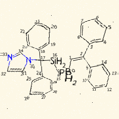 BC=C(c1ccccc1)c1ccccc1.CC(C)[SiH2]C(c1ccccc1)(c1ccccc1)n1ccnc1